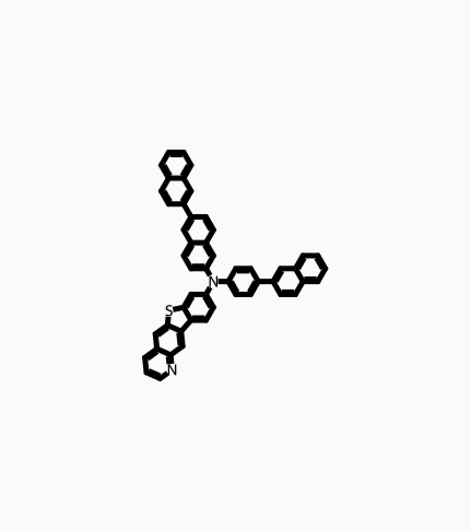 c1ccc2cc(-c3ccc(N(c4ccc5cc(-c6ccc7ccccc7c6)ccc5c4)c4ccc5c(c4)sc4cc6cccnc6cc45)cc3)ccc2c1